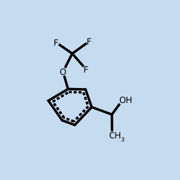 CC(O)c1cccc(OC(F)(F)F)c1